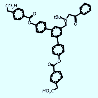 CC(C)(C)N(CC(=O)c1ccccc1)Cc1cc(-c2ccc(OC(=O)c3ccc(CC(=O)O)cc3)cc2)cc(-c2ccc(OC(=O)c3ccc(CC(=O)O)cc3)cc2)c1